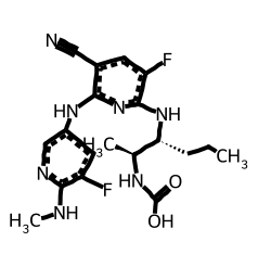 CCC[C@@H](Nc1nc(Nc2cnc(NC)c(F)c2)c(C#N)cc1F)[C@H](C)NC(=O)O